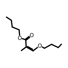 CCCCOC=C(C)C(=O)OCCCC